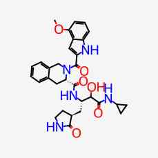 COc1cccc2[nH]c(C(=O)N3Cc4ccccc4C[C@H]3C(=O)N[C@@H](C[C@@H]3CCNC3=O)C(O)C(=O)NC3CC3)cc12